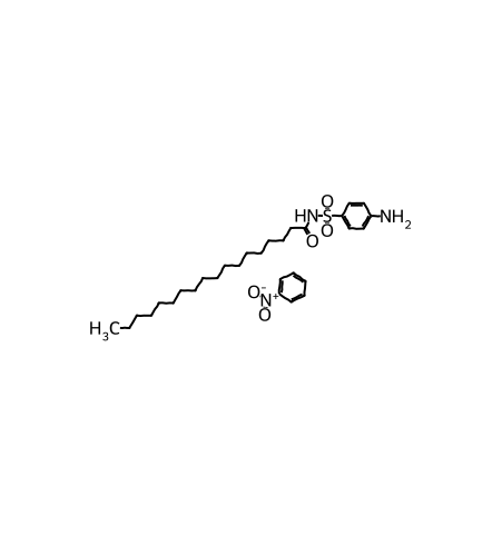 CCCCCCCCCCCCCCCCCC(=O)NS(=O)(=O)c1ccc(N)cc1.O=[N+]([O-])c1ccccc1